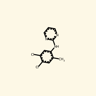 Cc1cc(Cl)c(Cl)cc1Nc1ncccn1